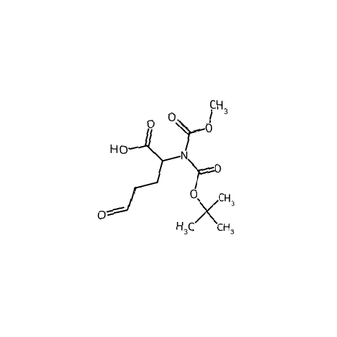 COC(=O)N(C(=O)OC(C)(C)C)C(CCC=O)C(=O)O